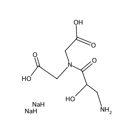 NCC(O)C(=O)N(CC(=O)O)CC(=O)O.[NaH].[NaH]